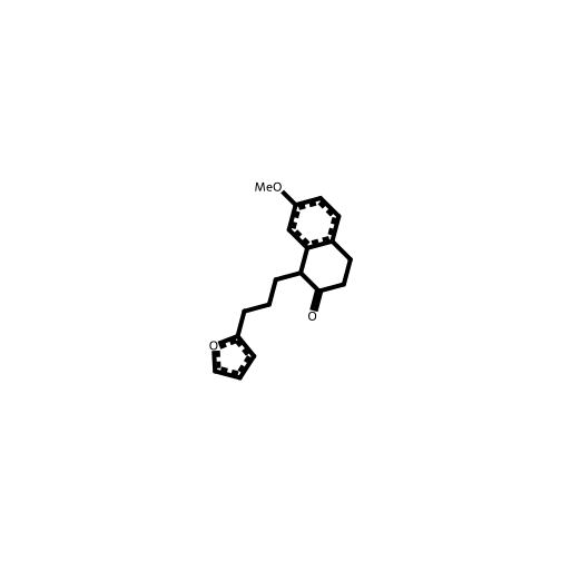 COc1ccc2c(c1)C(CCCc1ccco1)C(=O)CC2